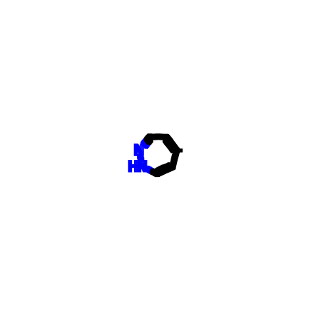 [C]1=CC=NNC=C1